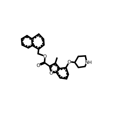 Cc1c(C(=O)OCc2cccc3ccccc23)oc2cccc(OC3CCNCC3)c12